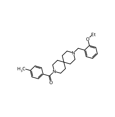 CCOc1ccccc1CN1CCC2(CC1)CCN(C(=O)c1ccc(C)cc1)CC2